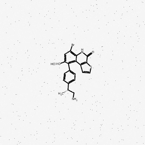 C[C@@H](CN)c1ccc(-c2c(O)cc(Br)c3[nH]c(=O)c4sccc4c23)cc1.Cl